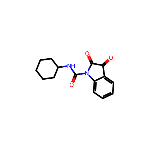 O=C1C(=O)N(C(=O)NC2CCCCC2)c2ccccc21